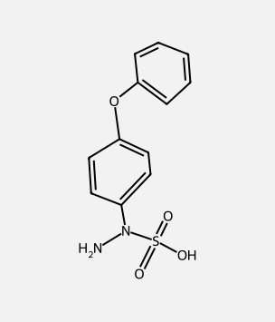 NN(c1ccc(Oc2ccccc2)cc1)S(=O)(=O)O